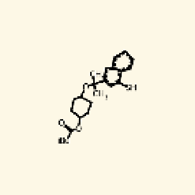 CCC(C)C(=O)OC1CCC(OC(C)(C)c2cc(S)c3ccccc3c2)CC1